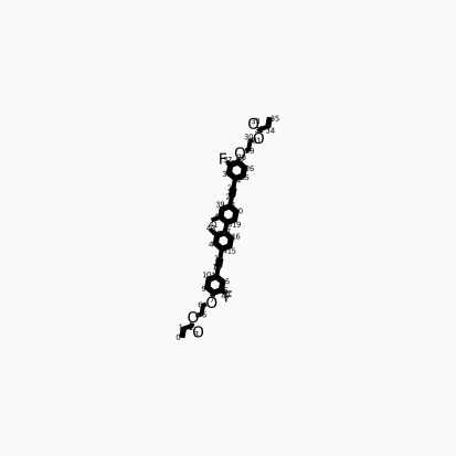 C=CC(=O)OCCOc1ccc(C#Cc2ccc(-c3ccc(C#Cc4ccc(OCCOC(=O)C=C)c(F)c4)cc3C)c(C)c2)cc1F